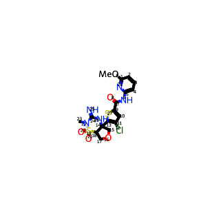 COc1cccc(NC(=O)c2cc(Cl)c(C34COCC3S(=O)(=O)N(C)C(=N)N4)s2)n1